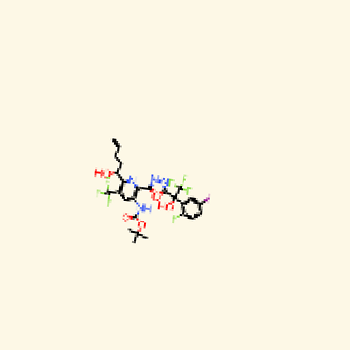 C=CCCC(O)c1nc(-c2nnc(C(O)(c3cc(I)ccc3F)C(F)(F)F)o2)c(NC(=O)OC(C)(C)C)cc1C(F)(F)F